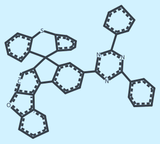 c1ccc(-c2nc(-c3ccccc3)nc(-c3ccc4c(c3)C3(c5ccccc5Sc5ccccc53)c3ccc5oc6ccccc6c5c3-4)n2)cc1